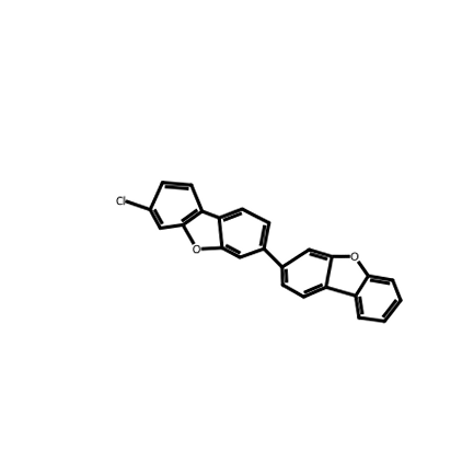 Clc1ccc2c(c1)oc1cc(-c3ccc4c(c3)oc3ccccc34)ccc12